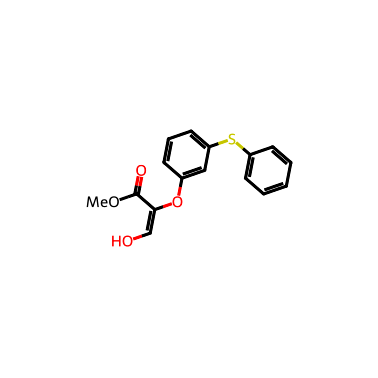 COC(=O)C(=CO)Oc1cccc(Sc2ccccc2)c1